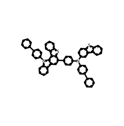 c1ccc(-c2ccc(N(c3ccc(-c4cc5c6ccccc6n(-c6ccc(-c7ccccc7)cc6)c5c5c4sc4ccccc45)cc3)c3ccc4sc5ccccc5c4c3)cc2)cc1